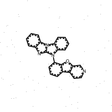 c1ccc2c(c1)nc1n(-c3cccc4c3oc3cnccc34)c3ccccc3n21